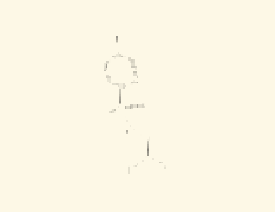 Cc1ccc(S(=O)(=O)CCC(N)N)cc1